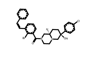 O=C(c1cccc(/C=C\c2ccccc2)c1Br)N1CCN2C[C@@](O)(c3ccc(Cl)cc3)CC[C@@H]2C1